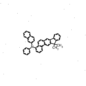 CC1(C)c2ccccc2-c2cc3ccc4c(N(c5ccccc5)c5ccc6ccccc6c5)cccc4c3cc21